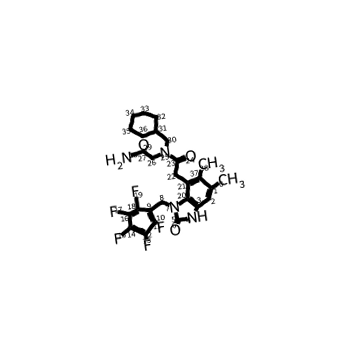 Cc1cc2[nH]c(=O)n(Cc3c(F)c(F)c(F)c(F)c3F)c2c(CC(=O)N(CC(N)=O)CC2CCCCC2)c1C